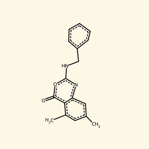 Cc1cc(C)c2c(=O)oc(NCc3ccccc3)nc2c1